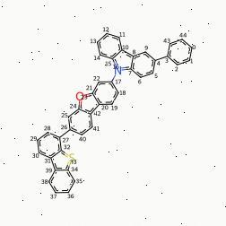 c1ccc(-c2ccc3c(c2)c2ccccc2n3-c2ccc3c(c2)oc2cc(-c4cccc5c4sc4ccccc45)ccc23)cc1